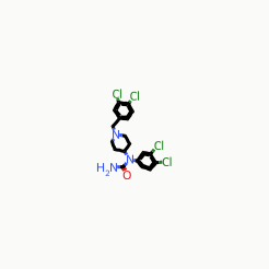 NC(=O)N(c1ccc(Cl)c(Cl)c1)C1CCN(Cc2ccc(Cl)c(Cl)c2)CC1